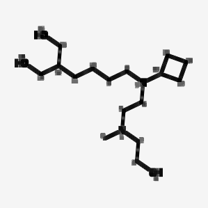 CN(CCO)CCN(CCCCC(CO)CO)C1CCC1